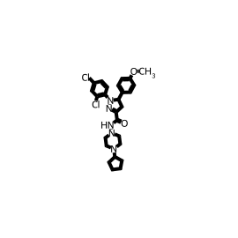 COc1ccc(C2CC(C(=O)NN3CCN(C4CCCC4)CC3)=NN2c2ccc(Cl)cc2Cl)cc1